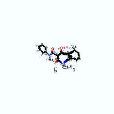 CCc1cccc2c1c(O)c(C(=O)N(CC)c1ccccc1)c(=O)n2C.[Li]